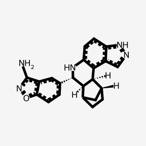 Nc1noc2ccc([C@@H]3Nc4ccc5[nH]ncc5c4[C@H]4[C@@H]5CCC(C5)[C@H]43)cc12